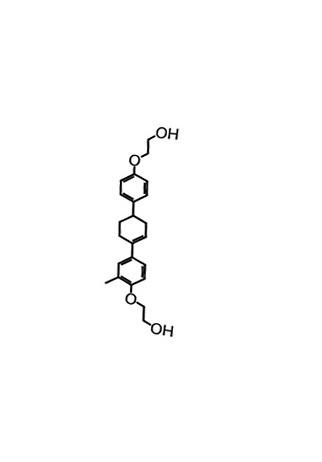 Cc1cc(C2=CCC(c3ccc(OCCO)cc3)CC2)ccc1OCCO